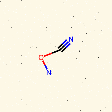 [N]OC#N